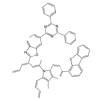 C=C/C=C\c1c(C)c(C)c(/C=C\C(=C)c2cccc3c2sc2ccccc23)n1/C(C)=C/C(=C\C=C)c1nc(=C)/c(=C\C(=C/C)c2nc(-c3ccccc3)nc(-c3ccccc3)n2)o1